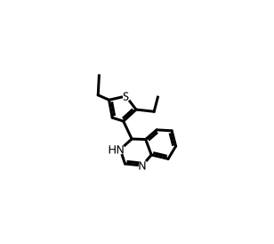 CCc1cc(C2NC=Nc3ccccc32)c(CC)s1